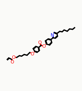 C=CC(=O)OCCCCCCOc1ccc(C(=O)Oc2ccc(-c3ccc(CCCCCCC)cn3)cc2)cc1